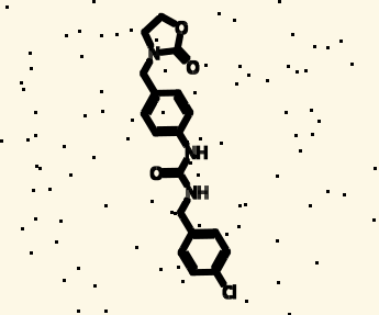 O=C(NCc1ccc(Cl)cc1)Nc1ccc(CN2CCOC2=O)cc1